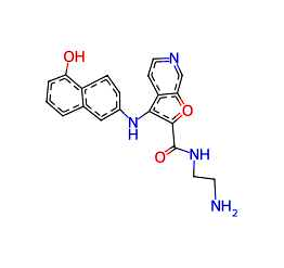 NCCNC(=O)c1oc2cnccc2c1Nc1ccc2c(O)cccc2c1